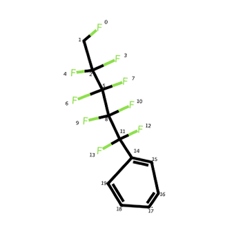 FCC(F)(F)C(F)(F)C(F)(F)C(F)(F)c1cc[c]cc1